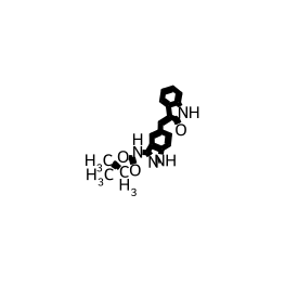 CC(C)(C)OC(=O)Nc1n[nH]c2ccc(C=C3C(=O)Nc4ccccc43)cc12